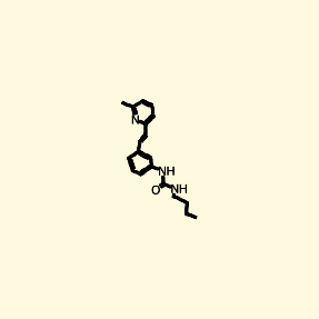 CCCCNC(=O)Nc1cccc(C=Cc2cccc(C)n2)c1